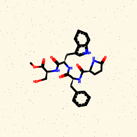 COC(=O)[C@H](CO)NC(=O)[C@H](Cc1c[nH]c2ccccc12)NC(=O)[C@@H](Cc1ccccc1)NC(=O)[C@@H]1CCC(=O)N1